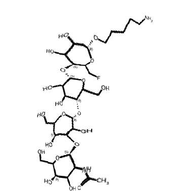 CC(=O)NC1C(O)[C@@H](O)C(CO)O[C@H]1OC1C(O)[C@@H](O[C@H]2C(CO)O[C@@H](O[C@@H]3C(CF)O[C@@H](OCCCCCN)C(O)C3O)C(O)C2O)OC(CO)[C@@H]1O